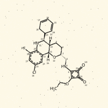 CCOc1c(NC[C@H]2CC[C@@H]3[C@H](O2)c2cc(Cl)cc(F)c2N[C@H]3C2C=CC=CC2)c(=O)c1=O